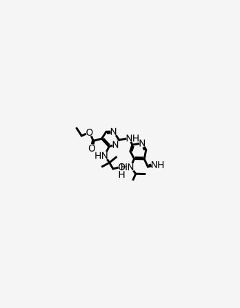 CCOC(=O)c1cnc(Nc2cc(NC(C)C)c(C=N)cn2)nc1NC(C)(C)CO